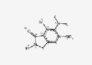 CC(C)N1Cc2cc([N+](=O)[O-])c(N(C)C)c(Br)c2C1=O